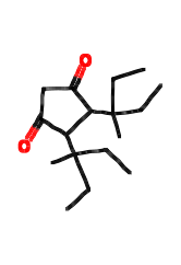 CCC(C)(CC)C1C(=O)CC(=O)C1C(C)(CC)CC